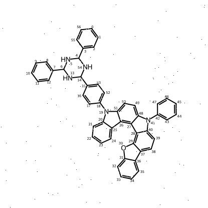 c1ccc(C2NC(c3ccccc3)NC(c3ccc(-n4c5ccccc5c5c6c7c8oc9ccccc9c8ccc7n(-c7ccccc7)c6ccc54)cc3)N2)cc1